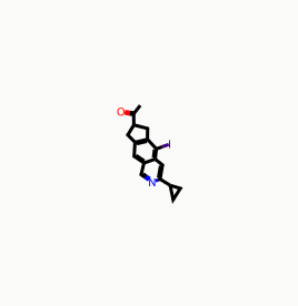 CC(=O)C1Cc2cc3cnc(C4CC4)cc3c(I)c2C1